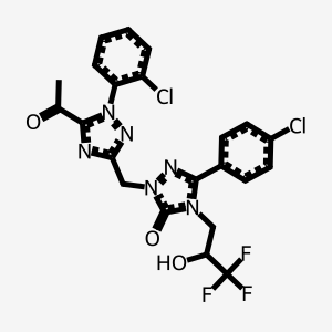 CC(=O)c1nc(Cn2nc(-c3ccc(Cl)cc3)n(CC(O)C(F)(F)F)c2=O)nn1-c1ccccc1Cl